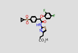 O=C(O)CCc1csc(NC(=O)C(Oc2ccc(F)cc2F)c2ccc(S(=O)(=O)C3CC3)cc2)n1